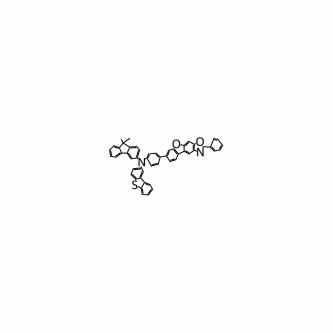 CC1(C)c2ccccc2-c2cc(N(c3ccc(-c4ccc5c(c4)oc4cc6oc(-c7ccccc7)nc6cc45)cc3)c3ccc4sc5ccccc5c4c3)ccc21